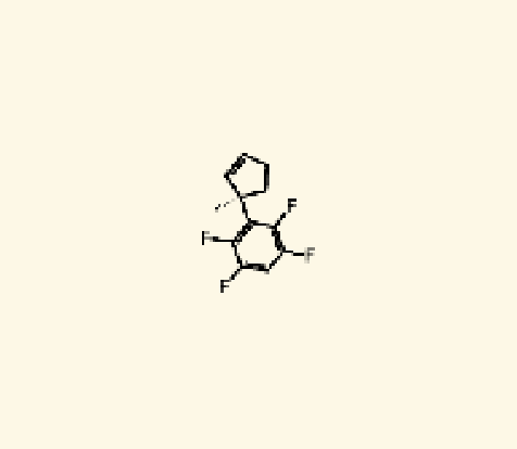 C[C@]1(c2c(F)c(F)cc(F)c2F)C=CCC1